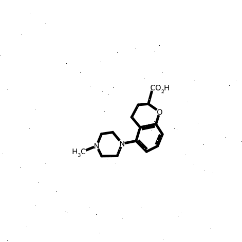 CN1CCN(c2cccc3c2CCC(C(=O)O)O3)CC1